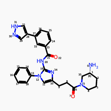 N[C@@H]1CCCN(C(=O)CCc2cn(-c3ccccc3)c(NC(=O)c3cccc(-c4cn[nH]c4)c3)n2)C1